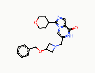 O=c1[nH]c(CN2CC(OCc3ccccc3)C2)cn2c(C3CCOCC3)ncc12